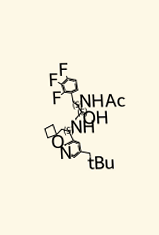 CC(=O)N[C@@H](Cc1ccc(F)c(F)c1F)[C@@H](O)CN[C@H]1CC2(CCC2)Oc2ncc(CC(C)(C)C)cc21